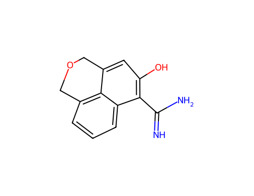 N=C(N)c1c(O)cc2c3c(cccc13)COC2